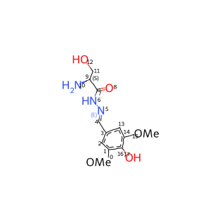 COc1cc(/C=N/NC(=O)[C@@H](N)CO)cc(OC)c1O